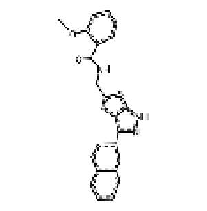 COc1ccccc1C(=O)NCc1cc2c(-c3ccc4ccccc4c3)n[nH]c2s1